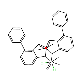 [CH2]=[Zr]([CH3])([CH3])([Cl])([Cl])([CH]1C(C)=Cc2c(-c3ccccc3)cccc21)[CH]1C(C)=Cc2c(-c3ccccc3)cccc21